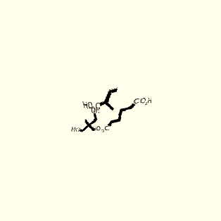 CC(C)(CO)CO.CC=C(C)C(=O)O.O=C(O)CCCCC(=O)O